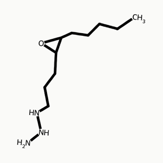 CCCCCC1OC1CCCNNN